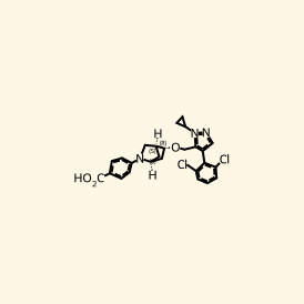 O=C(O)c1ccc(N2C[C@@H]3C[C@H]2C[C@H]3OCc2c(-c3c(Cl)cccc3Cl)cnn2C2CC2)cc1